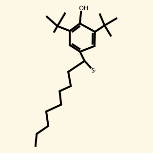 CCCCCCCCC([S])c1cc(C(C)(C)C)c(O)c(C(C)(C)C)c1